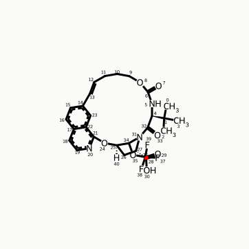 CC(C)(C)[C@@H]1NC(=O)OCCC/C=C/c2ccc3ccnc(c3c2)O[C@@H]2C[C@@H](C(=O)O)N(C1=O)C2OC(F)(F)F